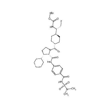 CN(C)S(=O)(=O)NC(=O)c1ccc(NC(=O)[C@@H]2[C@H](C3CCCCC3)CCN2C(=O)[C@H]2CC[C@H]([C@@H](CF)NC(=O)OC(C)(C)C)CC2)cc1